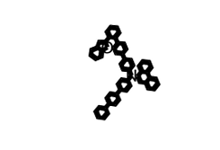 c1ccc(-c2ccc(-c3ccc(N(c4ccc(-c5ccc(-c6ccccc6-c6cc7ccccc7o6)cc5)cc4)c4cc5ccccc5c5ccccc45)cc3)cc2)cc1